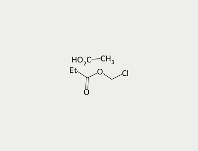 CC(=O)O.CCC(=O)OCCl